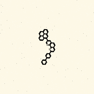 C1=CC2=CC(c3cnc4c(ccc5ccc(-c6ccc(-c7ccccc7)cc6)nc54)c3)=C3C=CC=C4C=CC(=C1)C2C43